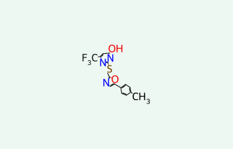 Cc1ccc(-c2cnc(CSc3nc(O)cc(C(F)(F)F)n3)o2)cc1